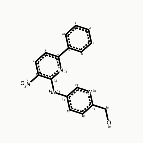 O=[N+]([O-])c1ccc(-c2ccccc2)nc1Nc1ccc(CCl)nc1